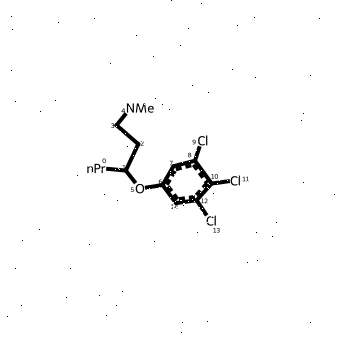 CCCC(CCNC)Oc1cc(Cl)c(Cl)c(Cl)c1